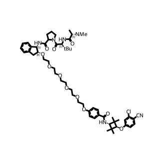 CN[C@@H](C)C(=O)N[C@H](C(=O)N1CCCC1C(=O)N[C@H]1c2ccccc2C[C@H]1OCCOCCOCCOCCOCCOc1ccc(C(=O)N[C@H]2C(C)(C)[C@H](Oc3ccc(C#N)c(Cl)c3)C2(C)C)cc1)C(C)(C)C